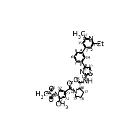 CCc1cc(-c2cccc(-c3csc(NC(=O)[C@@H]4CCCN4C(=O)c4cc(C)n(S(C)(=O)=O)c4)n3)c2)cc(C)n1